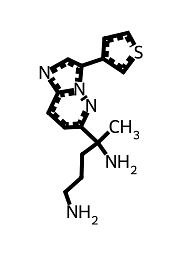 CC(N)(CCCN)c1ccc2ncc(-c3ccsc3)n2n1